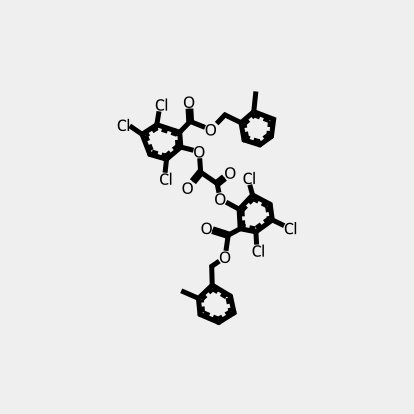 Cc1ccccc1COC(=O)c1c(Cl)c(Cl)cc(Cl)c1OC(=O)C(=O)Oc1c(Cl)cc(Cl)c(Cl)c1C(=O)OCc1ccccc1C